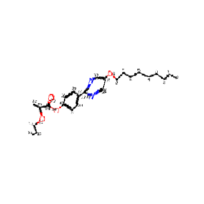 CCCCCCCCCOc1cnc(-c2ccc(OC(=O)C(C)OCCC)cc2)nc1